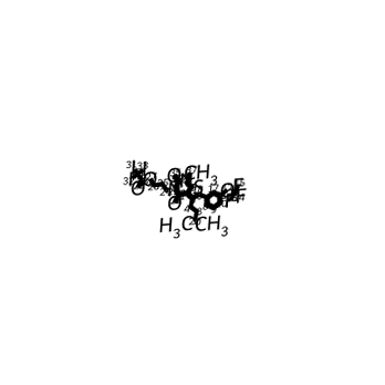 CC(C)CCc1c(-c2cccc(OC(F)(F)F)c2)sc2c1c(=O)n(CCCOC(=O)C(I)(I)I)c(=O)n2C